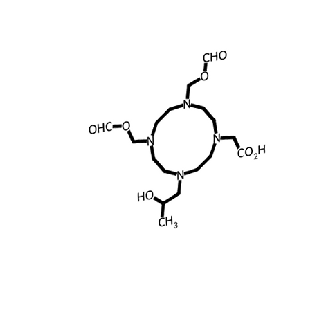 CC(O)CN1CCN(COC=O)CCN(COC=O)CCN(CC(=O)O)CC1